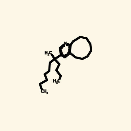 CCCCCCC(C)(CCCC)c1cnc2c(c1)CCCCCCCC2